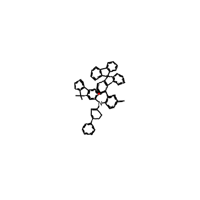 Cc1ccc(N(C2=CC=C(c3ccccc3)CC2)c2ccc3c(c2)C(C)(C)c2ccccc2-3)c(C2=C=C=CC3=C2c2ccccc2C32c3ccccc3-c3ccccc32)c1